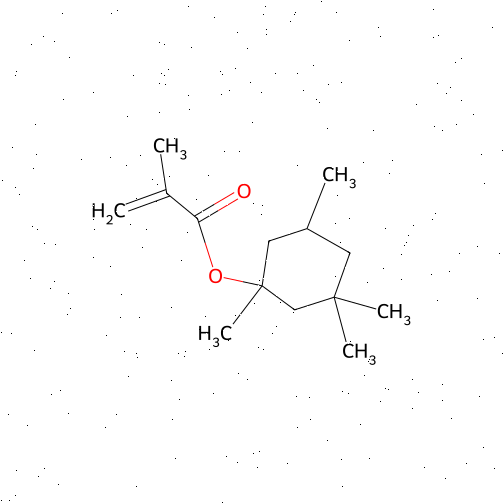 C=C(C)C(=O)OC1(C)CC(C)CC(C)(C)C1